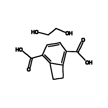 O=C(O)c1ccc(C(=O)O)c2c1CC2.OCCO